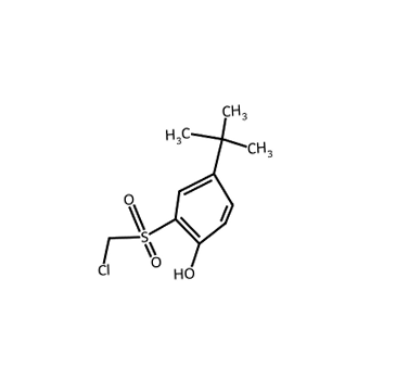 CC(C)(C)c1ccc(O)c(S(=O)(=O)CCl)c1